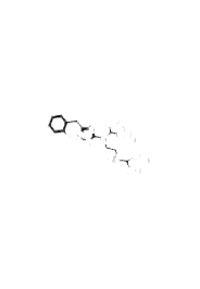 CC(C)NCCN(c1nc(Cc2ccccc2F)ns1)C(C)C